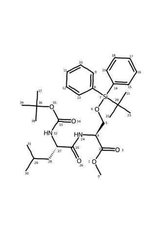 COC(=O)[C@H](CO[Si](c1ccccc1)(c1ccccc1)C(C)(C)C)NC(=O)[C@H](CC(C)C)NC(=O)OC(C)(C)C